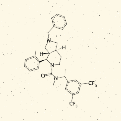 Cc1ccccc1[C@H]1[C@@H]2CN(Cc3ccccc3)C[C@H]2CCN1C(=O)N(C)[C@H](C)c1cc(C(F)(F)F)cc(C(F)(F)F)c1